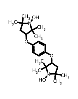 CC1(C)CC(Oc2ccc(OC3CC(C)(C)N(O)C3(C)C)cc2)C(C)(C)N1O